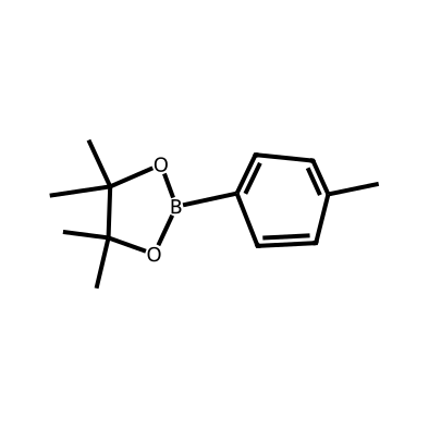 Cc1ccc(B2OC(C)(C)C(C)(C)O2)cc1